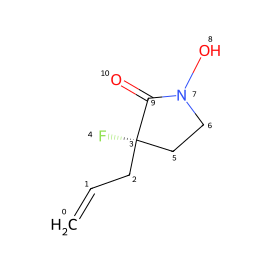 C=CC[C@]1(F)CCN(O)C1=O